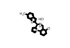 Cc1ccc2cc(C3NCc4c(Cl)cccc4-n4cccc43)oc2c1.Cl